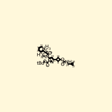 CC(C)(C)OC(=O)n1nc(C2CC(OC(=O)NCC3CC3)C2)cc1NC(=O)C(C)(C)c1ccccn1